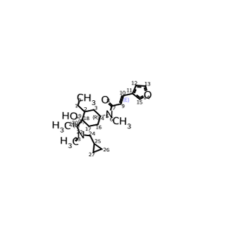 CCC1C[C@H](N(C)C(=O)/C=C/c2ccoc2)CC[C@@]1(O)[C@@H](C)N(C)CC1CC1